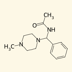 CC(=O)NC(c1ccccc1)N1CCN(C)CC1